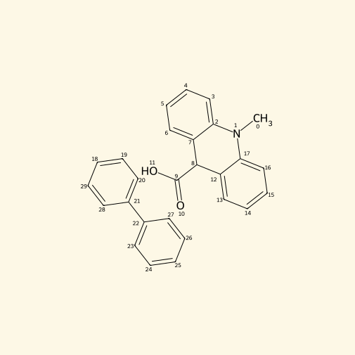 CN1c2ccccc2C(C(=O)O)c2ccccc21.c1ccc(-c2ccccc2)cc1